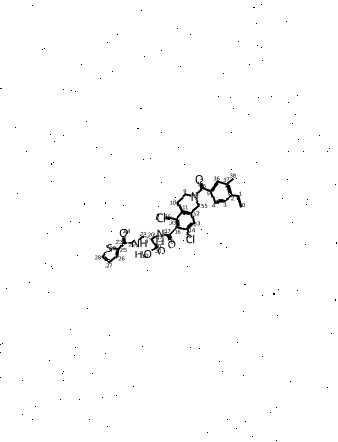 C=Cc1ccc(C(=O)N2CCc3c(cc(Cl)c(C(=O)N[C@@H](CNC(=O)c4cccs4)C(=O)O)c3Cl)C2)cc1C